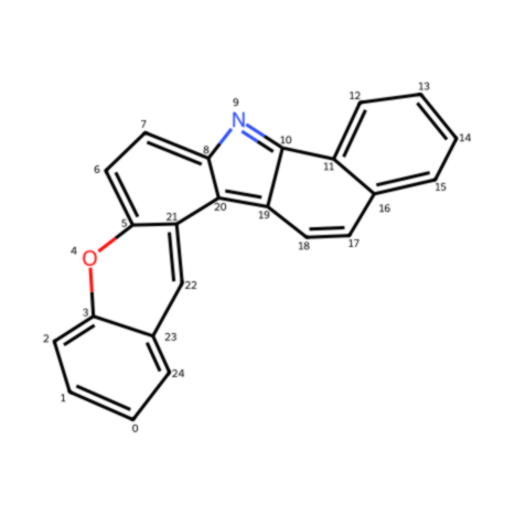 c1ccc2oc3ccc4nc5c6ccccc6ccc5c4c3cc2c1